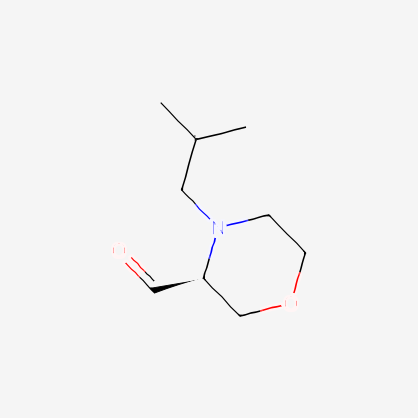 C[C](C)CN1CCOC[C@H]1C=O